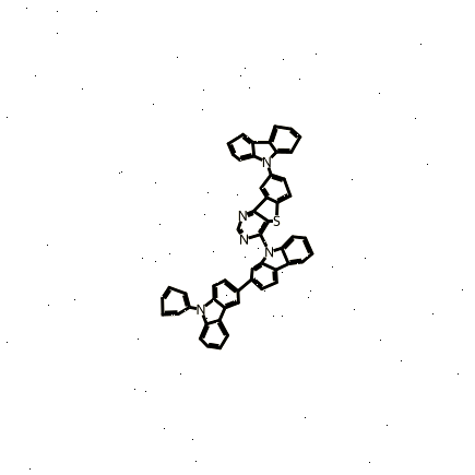 c1ccc(-n2c3ccccc3c3cc(-c4ccc5c6ccccc6n(-c6ncnc7c6sc6ccc(-n8c9ccccc9c9ccccc98)cc67)c5c4)ccc32)cc1